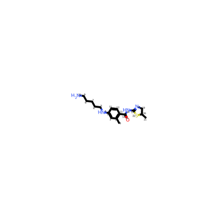 Cc1cc(NCCCCCN)ccc1C(=O)NC1=NCC(C)S1